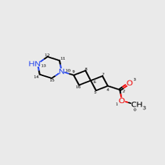 COC(=O)C1CC2(C1)CC(N1CCNCC1)C2